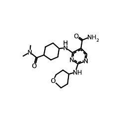 CN(C)C(=O)C1CCC(Nc2nc(NC3CCOCC3)ncc2C(N)=O)CC1